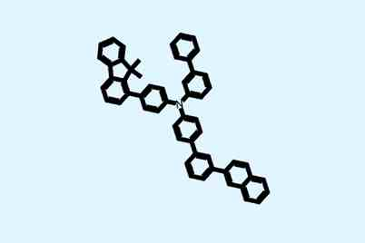 CC1(C)c2ccccc2-c2cccc(-c3ccc(N(c4ccc(-c5cccc(-c6ccc7ccccc7c6)c5)cc4)c4cccc(-c5ccccc5)c4)cc3)c21